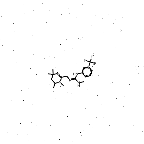 CNC(=NCC1=NC(C)(C)CC(C)N1C)Nc1cccc(C(F)(F)F)c1